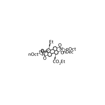 CCC#Cc1cc2c3c(ccc4c5c(C#CC(=O)OCC)cc6c7c(ccc(c1c34)c75)C(=O)N(CC(CCCCCCCC)CCCCCCCCCC)C6=O)C(=O)N(CC(CCCCCCCC)CCCCCCCCCC)C2=O